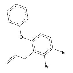 C=CCc1c(Oc2ccccc2)ccc(Br)c1Br